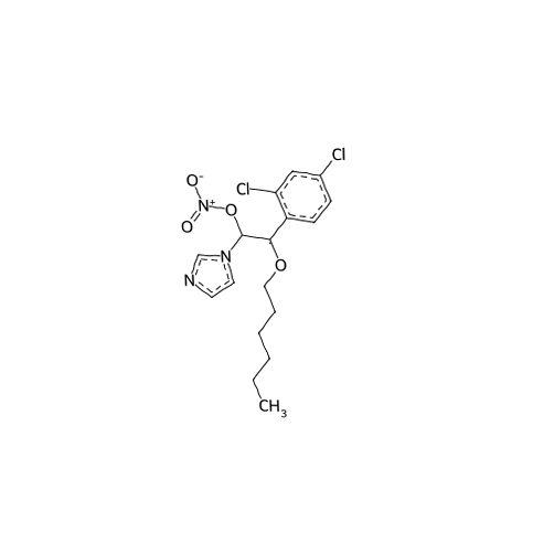 CCCCCCO[C](c1ccc(Cl)cc1Cl)C(O[N+](=O)[O-])n1ccnc1